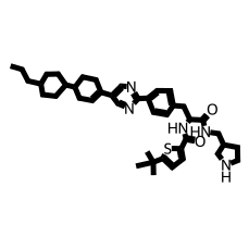 CCCC1CCC(C2CC=C(c3cnc(-c4ccc(CC(NC(=O)c5ccc(C(C)(C)C)s5)C(=O)NCC5CCNC5)cc4)nc3)CC2)CC1